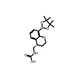 CC1(C)OB(c2cccc3c2OCC[C@H]3CNC(=O)O)OC1(C)C